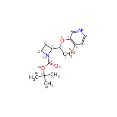 CC(Oc1cnccc1Br)C1CCN1C(=O)OC(C)(C)C